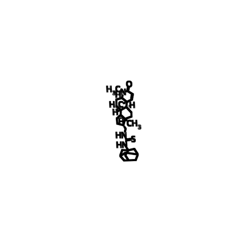 CN1C(=O)C=C[C@]2(C)[C@H]3CC[C@]4(C)[C@@H](CNC(=S)NC56CC7CC(CC(C7)C5)C6)CC[C@H]4[C@@H]3CC[C@@H]12